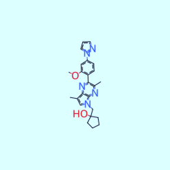 COc1cc(-n2cccn2)ccc1-c1nc2c(C)cn(CC3(O)CCCC3)c2nc1C